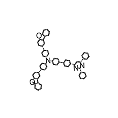 c1ccc(-c2cc(-c3ccc(-c4ccc(N(c5ccc(-c6ccc7oc8ccccc8c7c6)cc5)c5ccc(-c6ccc7oc8ccccc8c7c6)cc5)cc4)cc3)nc(-c3ccccc3)n2)cc1